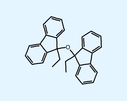 CCC1(OC2(CC)c3ccccc3-c3ccccc32)c2ccccc2-c2ccccc21